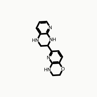 c1cnc2c(c1)NCC(c1ccc3c(n1)NCCO3)N2